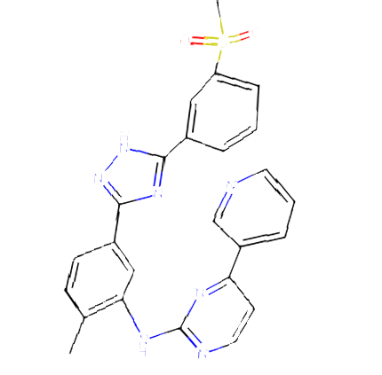 Cc1ccc(-c2n[nH]c(-c3cccc(S(C)(=O)=O)c3)n2)cc1Nc1nccc(-c2cccnc2)n1